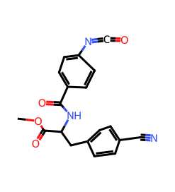 COC(=O)C(Cc1ccc(C#N)cc1)NC(=O)c1ccc(N=C=O)cc1